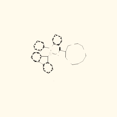 O=C([NH][Hf+2]([CH]1c2ccccc2-c2ccccc21)[SiH](c1ccccc1)c1ccccc1)C1CCCCCCCCCCC1.[Cl-].[Cl-]